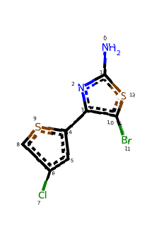 Nc1nc(-c2cc(Cl)cs2)c(Br)s1